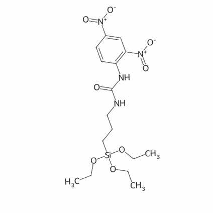 CCO[Si](CCCNC(=O)Nc1ccc([N+](=O)[O-])cc1[N+](=O)[O-])(OCC)OCC